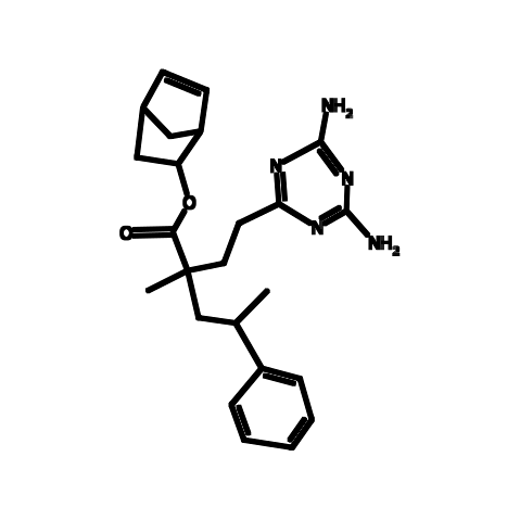 CC(CC(C)(CCc1nc(N)nc(N)n1)C(=O)OC1CC2C=CC1C2)c1ccccc1